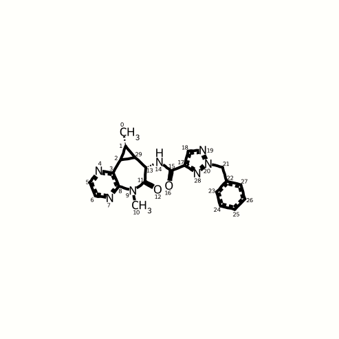 C[C@H]1C2c3nccnc3N(C)C(=O)[C@@H](NC(=O)c3cnn(Cc4ccccc4)n3)C21